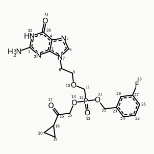 Nc1nc2c(ncn2CCOCP(=O)(OCC(=O)C2CC2)OCc2cccc(F)c2)c(=O)[nH]1